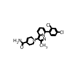 Cc1nn2c(-c3ccc(Cl)cc3Cl)cccc2c1N1CC=C(C(N)=O)CC1